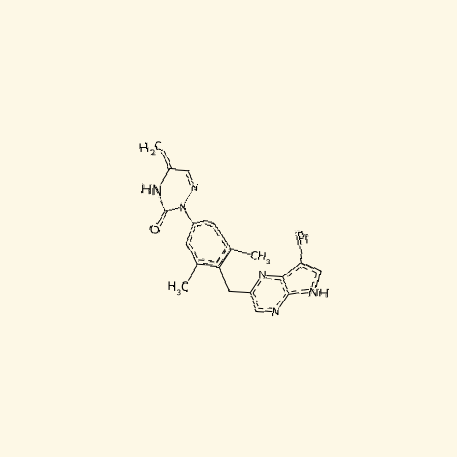 C=C1C=NN(c2cc(C)c(Cc3cnc4[nH]cc(C(C)C)c4n3)c(C)c2)C(=O)N1